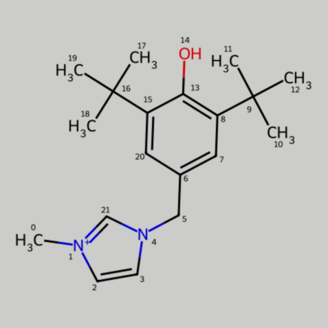 C[n+]1ccn(Cc2cc(C(C)(C)C)c(O)c(C(C)(C)C)c2)c1